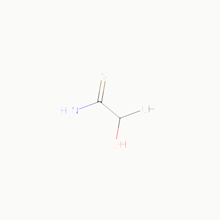 CC(O)C(N)=S